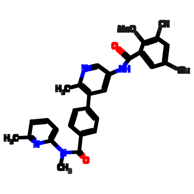 COc1c(C#N)cc(C(C)(C)C)cc1C(=O)Nc1cnc(C)c(-c2ccc(C(=O)N(C)c3cccc(C)n3)cc2)c1